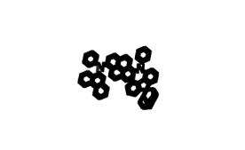 c1ccc(N(c2cccc3c2-c2ccccc2C32C3CC4CC(C3)CC2C4)c2ccc3ccc4c(N(c5ccccc5)c5cc6ccccc6c6ccccc56)ccc5ccc2c3c54)cc1